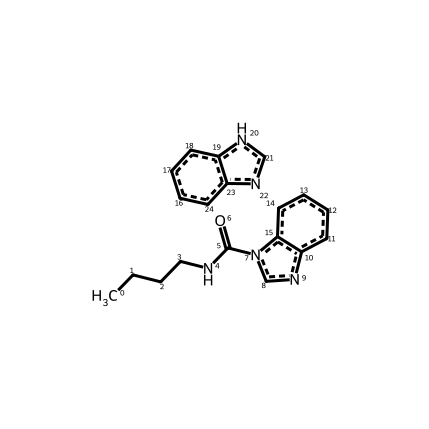 CCCCNC(=O)n1cnc2ccccc21.c1ccc2[nH]cnc2c1